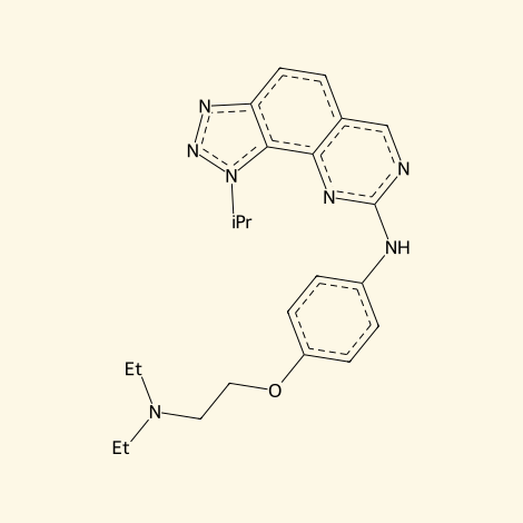 CCN(CC)CCOc1ccc(Nc2ncc3ccc4nnn(C(C)C)c4c3n2)cc1